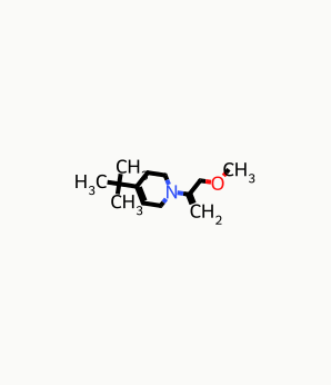 C=C(COC)N1CC=C(C(C)(C)C)CC1